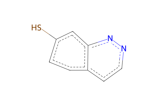 Sc1ccc2ccnnc2c1